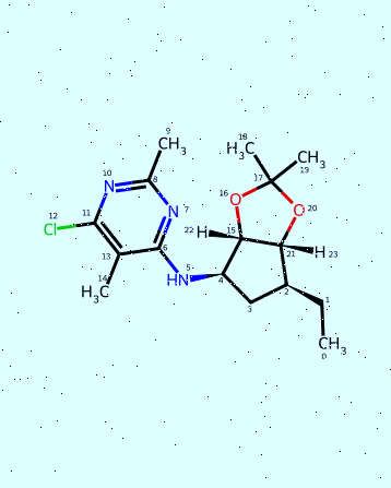 CC[C@H]1C[C@@H](Nc2nc(C)nc(Cl)c2C)[C@@H]2OC(C)(C)O[C@H]12